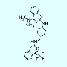 CN(C)c1nc(NC2CCC(CNC(=O)Cc3ccccc3OC(F)(F)F)CC2)nc2ccccc12